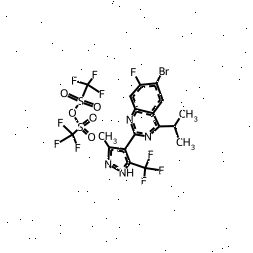 Cc1n[nH]c(C(F)(F)F)c1-c1nc(C(C)C)c2cc(Br)c(F)cc2n1.O=S(=O)(OS(=O)(=O)C(F)(F)F)C(F)(F)F